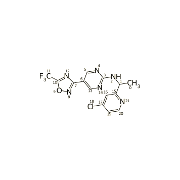 CC(Nc1ncc(-c2noc(C(F)(F)F)n2)cn1)c1cc(Cl)ccn1